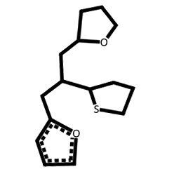 c1coc(CC(CC2CCCO2)C2CCCS2)c1